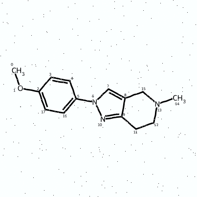 COc1ccc(-n2cc3c(n2)CCN(C)C3)cc1